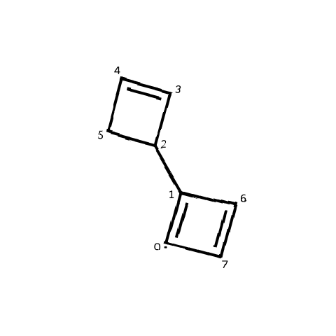 [C]1=C(C2C=CC2)C=C1